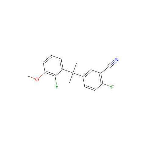 COc1cccc(C(C)(C)c2ccc(F)c(C#N)c2)c1F